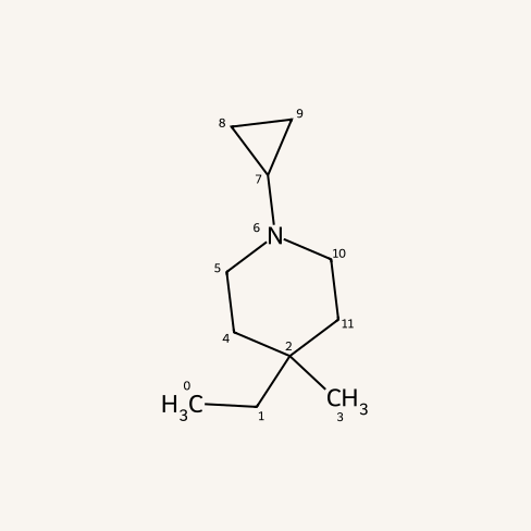 CCC1(C)CCN(C2CC2)CC1